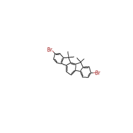 CC1(C)c2cc(Br)ccc2-c2ccc3c(c21)C(C)(C)c1cc(Br)ccc1-3